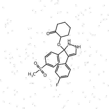 CS(=O)(=O)c1ccc(C2(OC3CCCCC3=O)NNC=C2c2ccc(F)cc2)cc1